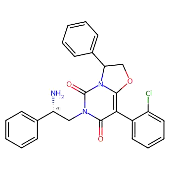 N[C@H](Cn1c(=O)c(-c2ccccc2Cl)c2n(c1=O)C(c1ccccc1)CO2)c1ccccc1